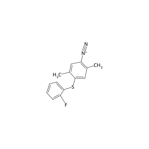 Cc1cc(Sc2ccccc2F)c(C)cc1[N+]#N